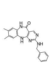 Cc1cc2c(cc1C)Nc1nc(NCc3ccccc3)ncc1C(=O)N2